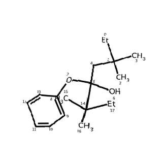 CCC(C)(C)CC(O)(Oc1ccccc1)C(C)(C)CC